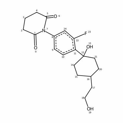 O=C1CCCC(=O)N1c1ccc(C2(O)CCC(CCO)CC2)c(F)c1